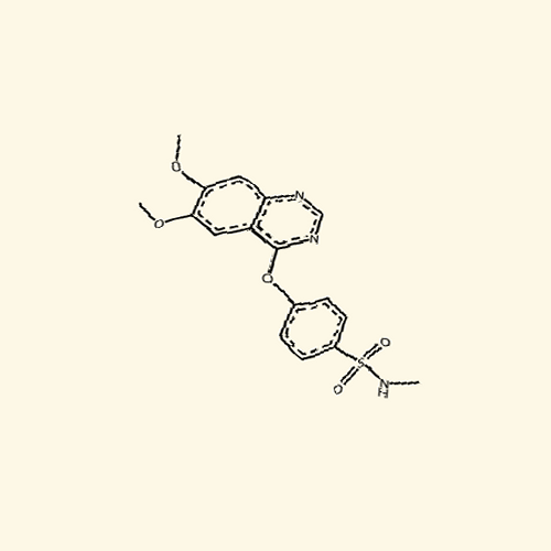 CNS(=O)(=O)c1ccc(Oc2ncnc3cc(OC)c(OC)cc23)cc1